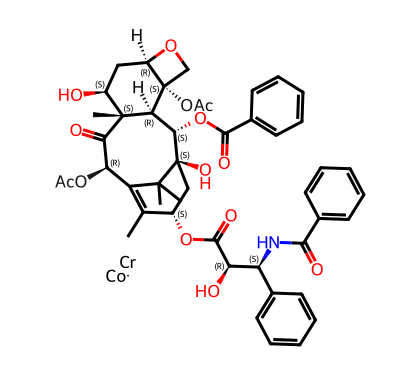 CC(=O)O[C@H]1C(=O)[C@@]2(C)[C@H]([C@H](OC(=O)c3ccccc3)[C@]3(O)C[C@H](OC(=O)[C@H](O)[C@@H](NC(=O)c4ccccc4)c4ccccc4)C(C)=C1C3(C)C)[C@]1(OC(C)=O)CO[C@@H]1C[C@@H]2O.[Co].[Cr]